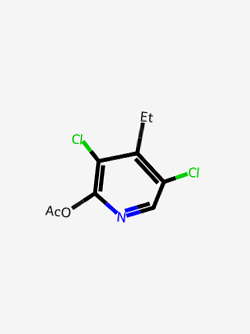 CCc1c(Cl)cnc(OC(C)=O)c1Cl